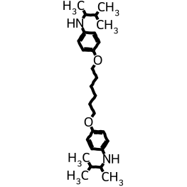 CC(C)C(C)Nc1ccc(OCCCCCCOc2ccc(NC(C)C(C)C)cc2)cc1